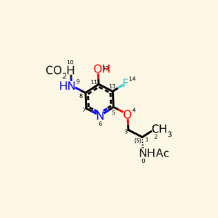 CC(=O)N[C@@H](C)COc1ncc(NC(=O)O)c(O)c1F